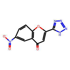 O=c1cc(-c2nnn[nH]2)oc2ccc([N+](=O)[O-])cc12